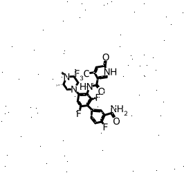 C[C@@H]1CN(c2cc(F)c(-c3ccc(F)c(C(N)=O)c3)c(F)c2NC(=O)c2c[nH]c(=O)cc2C(F)(F)F)C[C@H](C)N1C